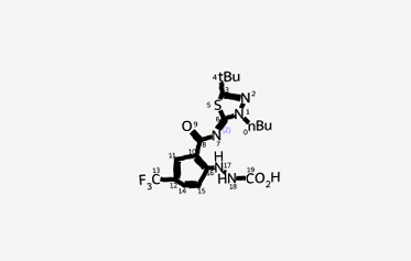 CCCCn1nc(C(C)(C)C)s/c1=N\C(=O)c1cc(C(F)(F)F)ccc1NNC(=O)O